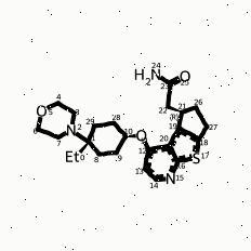 CC[C@]1(N2CCOCC2)CC[C@H](Oc2ccnc3sc4c(c23)[C@@H](CC(N)=O)CC4)CC1